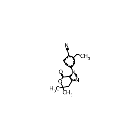 CCc1cc(-n2cnc3c2C(=O)OC(C)(C)C3)ccc1C#N